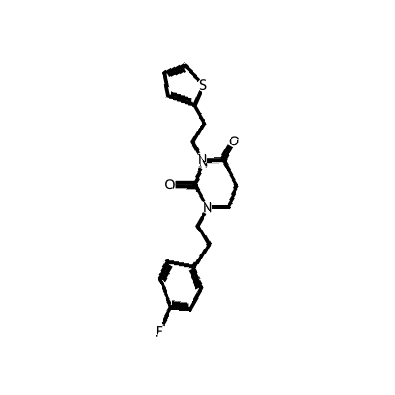 O=C1CCN(CCc2ccc(F)cc2)C(=O)N1CCc1cccs1